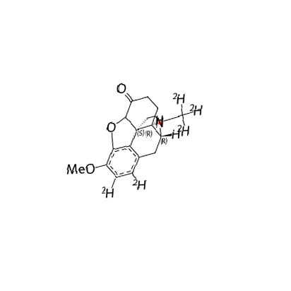 [2H]c1c([2H])c(OC)c2c3c1C[C@@H]1[C@@H]4CCC(=O)C(O2)[C@]34CCN1C([2H])([2H])[2H]